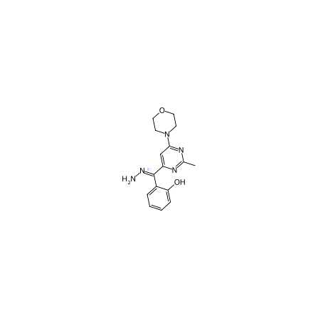 Cc1nc(/C(=N/N)c2ccccc2O)cc(N2CCOCC2)n1